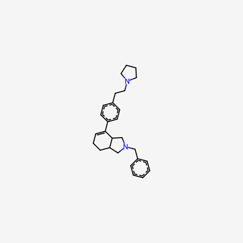 C1=C(c2ccc(CCN3CCCC3)cc2)C2CN(Cc3ccccc3)CC2CC1